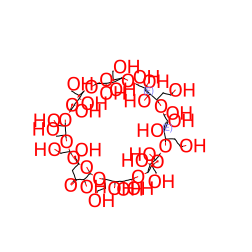 O=C1CC2(CO)OC(CO)OC(CO)C(CO)OC3OC(CO)C(OC4OC(CO)C(OC(O)/C(O)=C(\O)C(CCO)OC(O)/C(O)=C(\O)C(CCO)OC5OC(CO)C(OC(O)C(O)C(O)C(CCO)OC(O2)C1O)C(O)C5O)C(O)C4O)C(O)C3O